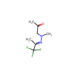 CC(=O)CN(C)/N=C(\C)C(F)(F)F